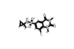 Cn1c(=O)c2cc(S(=O)(=O)NC3(C)CC3)cc(F)c2n(C)c1=O